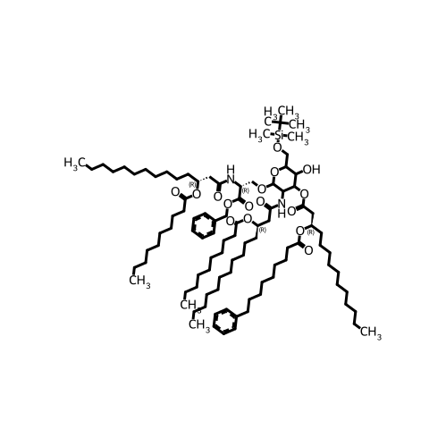 CCCCCCCCCCC[C@H](CC(=O)NC1C(OC[C@@H](NC(=O)C[C@@H](CCCCCCCCCCC)OC(=O)CCCCCCCCC)C(=O)OCc2ccccc2)OC(CO[Si](C)(C)C(C)(C)C)C(O)C1OC(=O)C[C@@H](CCCCCCCCCCC)OC(=O)CCCCCCCCc1ccccc1)OC(=O)CCCCCCCCC